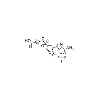 Cc1ccc(S(=O)(=O)NC23CC(C(=O)O)(C2)C3)cc1-c1cnc2c(N)nc(C(F)(F)F)cn12